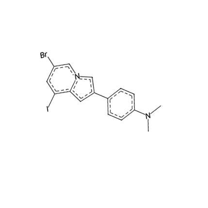 CN(C)c1ccc(-c2cc3c(I)cc(Br)cn3c2)cc1